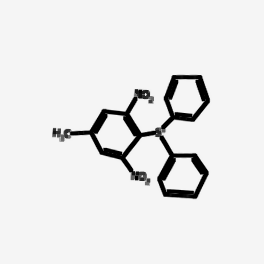 Cc1cc([N+](=O)[O-])c([S+](c2ccccc2)c2ccccc2)c([N+](=O)[O-])c1